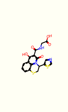 O=C(O)CNC(=O)c1c(O)c2cccc3c2n(c1=O)C(c1cncs1)CS3